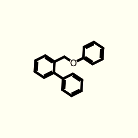 c1ccc(OCc2ccccc2-c2ccccc2)cc1